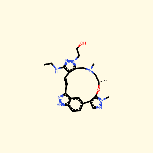 CCNc1nn(CCO)c2c1/C=C/c1n[nH]c3ccc(cc13)-c1cnn(C)c1O[C@@H](C)CN(C)C2